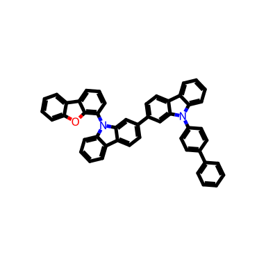 c1ccc(-c2ccc(-n3c4ccccc4c4ccc(-c5ccc6c7ccccc7n(-c7cccc8c7oc7ccccc78)c6c5)cc43)cc2)cc1